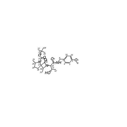 COc1ccc(CNC(=O)C(C(C)O)N2C(=O)C3(CCC(C)N3C(=O)OC(C)(C)C)C2C)cc1